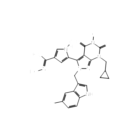 Cn1cc(C(=NO)C(F)(F)F)cc1-c1c2c(=O)n(C)c(=O)n(CC3CC3)c2nn1Cc1c[nH]c2ccc(Cl)cc12